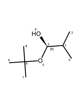 CC(C)[C@H](O)OC(C)(C)C